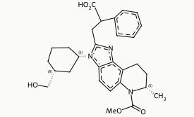 COC(=O)N1c2ccc3c(nc(CC(C(=O)O)c4ccccc4)n3[C@H]3CCC[C@@H](CO)C3)c2CC[C@@H]1C